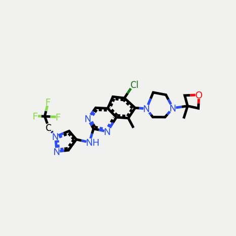 Cc1c(N2CCN(C3(C)COC3)CC2)c(Cl)cc2cnc(Nc3cnn(CC(F)(F)F)c3)nc12